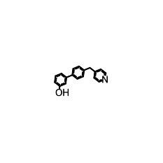 Oc1cccc(-c2ccc(Cc3ccncc3)cc2)c1